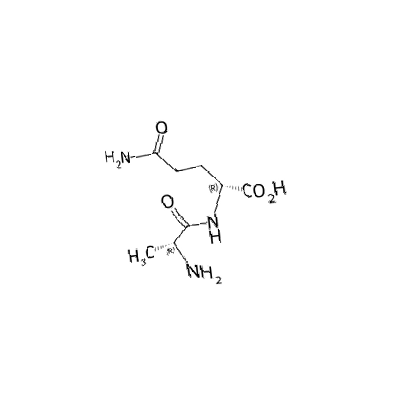 C[C@@H](N)C(=O)N[C@H](CCC(N)=O)C(=O)O